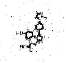 Cc1nccn1-c1ccc(-c2ccc(CCC(=O)O)n2-c2ccc(O)cc2)cc1